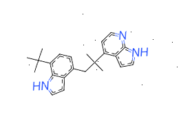 CC(C)(C)c1ccc(CC(C)(C)c2ccnc3[nH]ccc23)c2cc[nH]c12